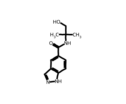 CC(C)(CO)NC(=O)c1ccc2[nH]ncc2c1